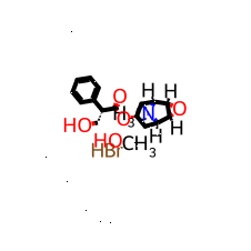 Br.CN1[C@@H]2C[C@@H](OC(=O)[C@H](CO)c3ccccc3)C[C@H]1[C@@H]1O[C@@H]12.CO